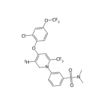 [2H]C1=C(Oc2ccc(OC(F)(F)F)cc2Cl)C=C(C(F)(F)F)N(c2cccc(S(=O)(=O)N(C)C)c2)C1